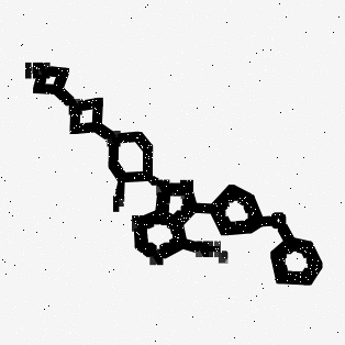 Nc1ncnc2c1c(-c1ccc(Oc3ccccc3)cc1)nn2[C@H]1CCN(C2CN(C3CNC3)C2)C[C@@H]1F